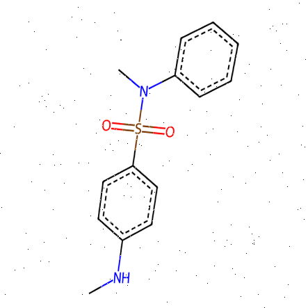 CNc1ccc(S(=O)(=O)N(C)c2ccccc2)cc1